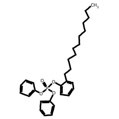 CCCCCCCCCCCCc1ccccc1OP(=O)(Oc1ccccc1)Oc1ccccc1